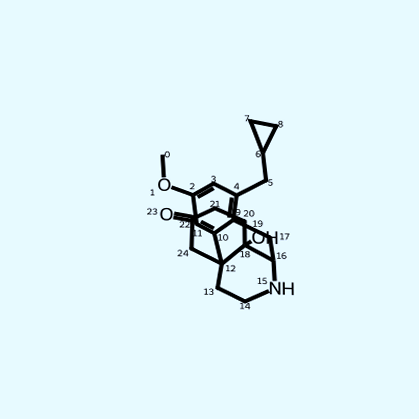 COc1cc(CC2CC2)c2c(c1)C13CCNC(C2)C1(O)CCC(=O)C3